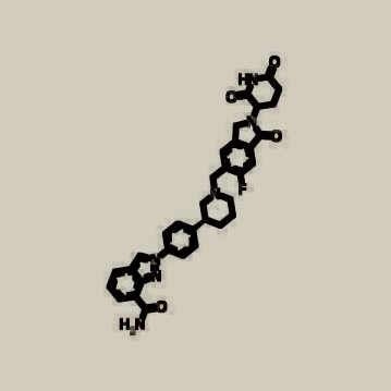 NC(=O)c1cccc2cn(-c3ccc([C@@H]4CCCN(Cc5cc6c(cc5F)C(=O)N(C5CCC(=O)NC5=O)C6)C4)cc3)nc12